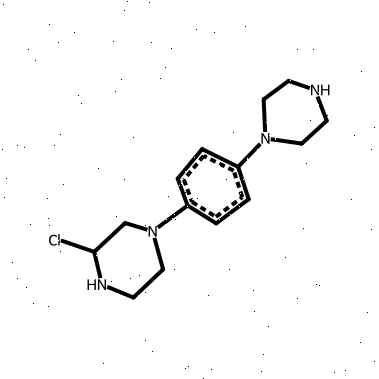 ClC1CN(c2ccc(N3CCNCC3)cc2)CCN1